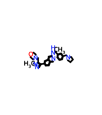 CC(Nc1cc2cc(-c3cnn(C)c3CN3CCOCC3)ccc2cn1)c1cccc(CN2CCCC2)c1